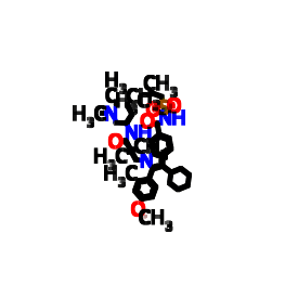 CCCC(CN(C)CC)NC(=O)C(C)(C)Cn1c(-c2ccc(OC)cc2C)c(C2CCCCC2)c2ccc(C(=O)NS(=O)(=O)CC(C)C)cc21